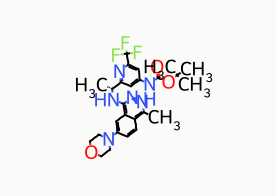 Cc1nnc(N[C@H](C)c2cc(NC(=O)OC(C)(C)C)cc(C(F)(F)F)n2)c2cc(N3CCOCC3)ccc12